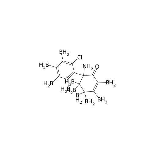 BC1=C(B)C(B)(B)C(B)(B)C(N)(c2c(B)c(B)c(B)c(B)c2Cl)C1=O